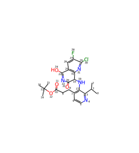 CC(C)c1nccc(CCC(=O)OC(C)(C)C)c1NC1C(=O)N=C(O)c2cc(F)c(Cl)nc21